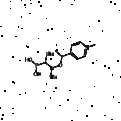 CC(ON(C(P(O)O)C(C)(C)C)C(C)(C)C)c1cc[n+](C)cc1